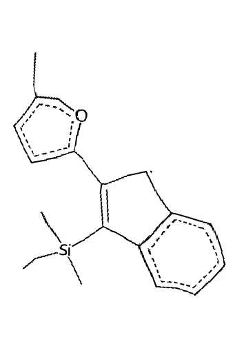 Cc1ccc(C2=C([Si](C)(C)C)c3ccccc3[CH]2)o1